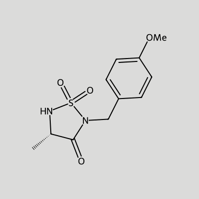 COc1ccc(CN2C(=O)[C@H](C)NS2(=O)=O)cc1